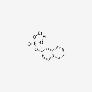 CCOP(=O)(OCC)Oc1ccc2ccccc2c1